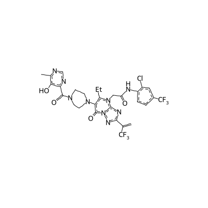 C=C(c1nc2n(CC(=O)Nc3ccc(C(F)(F)F)cc3Cl)c(CC)c(N3CCN(C(=O)c4ncnc(C)c4O)CC3)c(=O)n2n1)C(F)(F)F